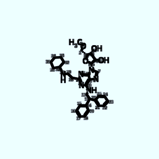 COC[C@H]1O[C@@H](n2cnc3c(NCC(c4ccccc4)c4ccccc4)nc(CCNC4CCCCC4)nc32)[C@H](O)[C@H]1O